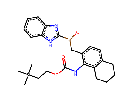 C[Si](C)(C)CCOC(=O)Nc1c(C[S+]([O-])c2nc3ccccc3[nH]2)ccc2c1CCCC2